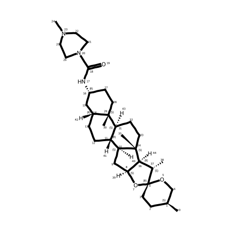 C[C@H]1CC[C@@]2(OC1)O[C@H]1C[C@H]3[C@@H]4CC[C@@H]5C[C@H](NC(=O)N6CCN(C)CC6)CC[C@]5(C)[C@H]4CC[C@]3(C)[C@H]1[C@@H]2C